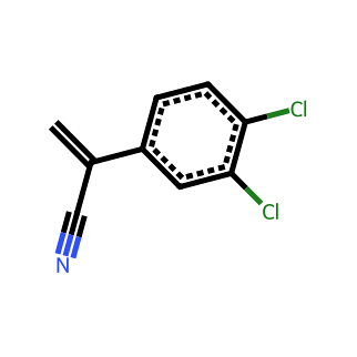 C=C(C#N)c1ccc(Cl)c(Cl)c1